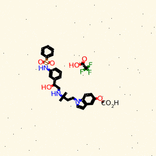 CC(C)(CCn1ccc2cc(OC(=O)O)ccc21)NCC(O)c1cccc(NS(=O)(=O)c2ccccc2)c1.O=C(O)C(F)(F)F